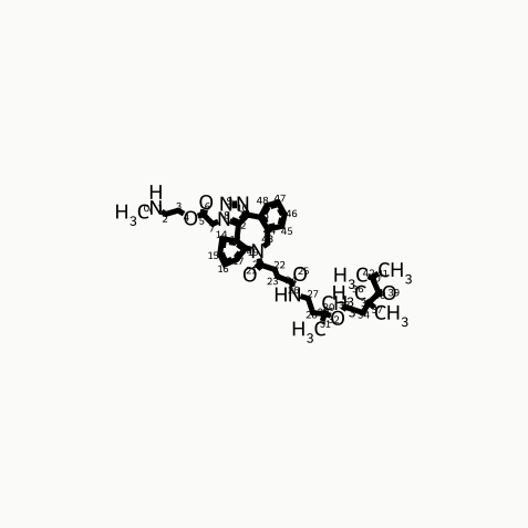 CNCCOC(=O)Cn1nnc2c1-c1ccccc1N(C(=O)CCC(=O)NCCC(C)(C)OCCC(C)(C)C(=O)C(C)C)Cc1ccccc1-2